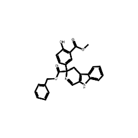 COC(=O)c1cc(C2(C(=O)OCc3ccccc3)Cc3c([nH]c4ccccc34)C=N2)ccc1O